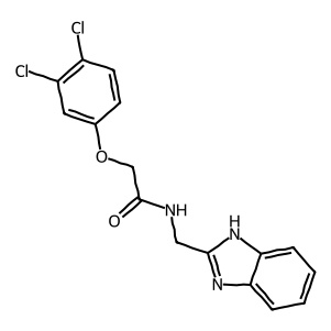 O=C(COc1ccc(Cl)c(Cl)c1)NCc1nc2ccccc2[nH]1